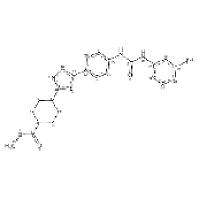 COC(=O)C1CCC(c2ncc(-c3ccc(NC(=O)Nc4cccc(F)c4)cc3)s2)CC1